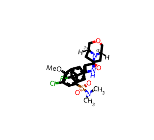 COc1cc(C=CC(=O)N2[C@@H]3COC[C@H]2CC(Nc2ccc(F)cc2)C3)c(S(=O)(=O)N(C)C)cc1Cl